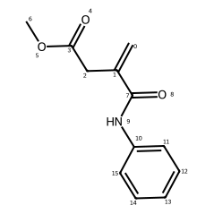 C=C(CC(=O)OC)C(=O)Nc1ccccc1